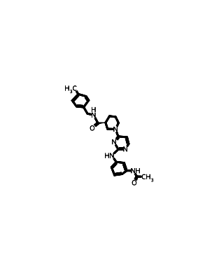 CC(=O)Nc1cccc(Nc2nccc(N3CCC[C@H](C(=O)NCc4ccc(C)cc4)C3)n2)c1